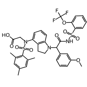 COc1cccc(C(C(=O)NS(=O)(=O)c2ccccc2OC(F)(F)F)N2CCc3c2cccc3N(CC(=O)O)S(=O)(=O)c2c(C)cc(C)cc2C)c1